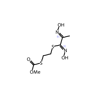 COC(=O)SCCSC(=N\O)/C(C)=N/O